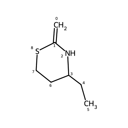 C=C1NC(CC)CCS1